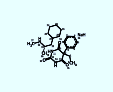 CCC1(c2ccccc2)C(=O)NC(=O)NC1=O.CN[C@@H](C)CC1CCCCC1.[NaH]